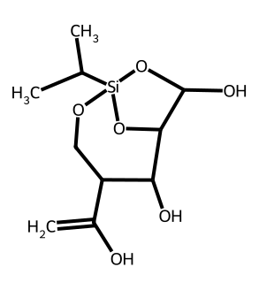 C=C(O)C1CO[Si]2(C(C)C)OC(O)C(O2)C1O